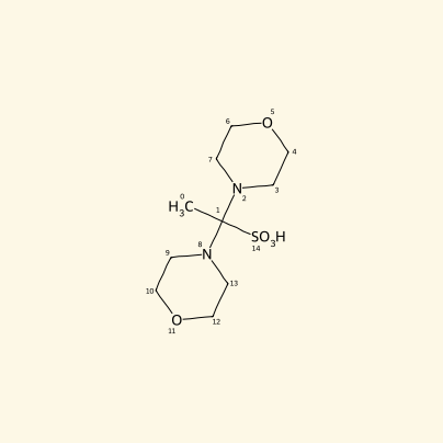 CC(N1CCOCC1)(N1CCOCC1)S(=O)(=O)O